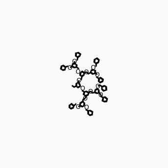 CCc1cc(OCc2cc(OCc3cc(OCc4ccccc4)cc(OCc4ccccc4)c3)cc(OCc3cc(OCc4ccccc4)cc(OCc4ccccc4)c3)c2)cc(OCc2cc(OCc3cc(OCc4ccccc4)cc(OCc4ccccc4)c3)cc(OCc3cc(OCc4ccccc4)cc(OCc4ccccc4)c3)c2)c1